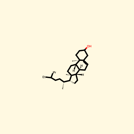 CCC(CC[C@@H](C)[C@H]1CC[C@H]2[C@@H]3CC=C4CC(O)CC[C@]4(C)[C@H]3CC[C@]12C)C(C)C